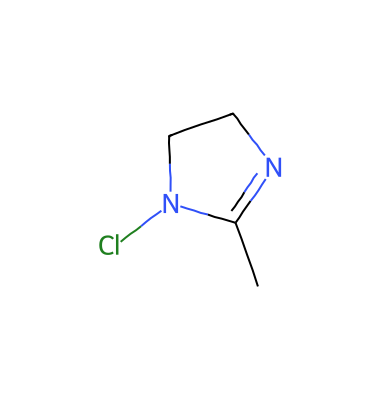 CC1=NCCN1Cl